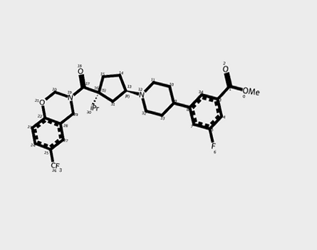 COC(=O)c1cc(F)cc(C2CCN([C@@H]3CC[C@@](C(=O)N4COc5ccc(C(F)(F)F)cc5C4)(C(C)C)C3)CC2)c1